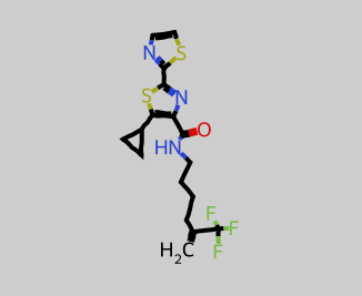 C=C(CCCCNC(=O)c1nc(-c2nccs2)sc1C1CC1)C(F)(F)F